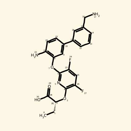 CC[C@@H](Oc1nc(Oc2cc(-c3cccc(CN)c3)ccc2N)c(F)cc1F)C(=O)O